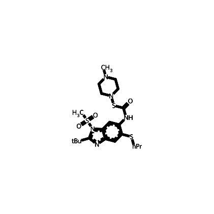 CCCSc1cc2nc(C(C)(C)C)n(S(C)(=O)=O)c2cc1NC(=O)SN1CCN(C)CC1